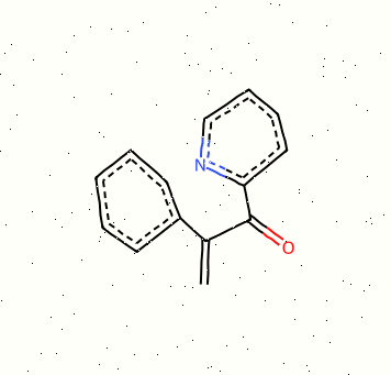 C=C(C(=O)c1ccccn1)c1ccccc1